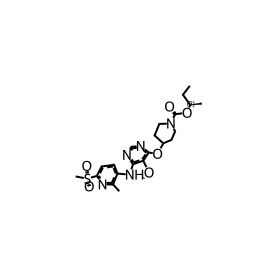 CC[C@@H](C)OC(=O)N1CCC(Oc2ncnc(Nc3ccc(S(C)(=O)=O)nc3C)c2OC)CC1